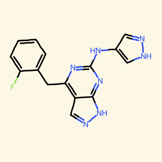 Fc1ccccc1Cc1nc(Nc2cn[nH]c2)nc2[nH]ncc12